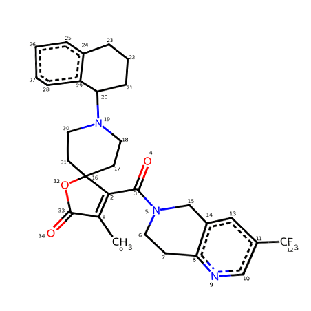 CC1=C(C(=O)N2CCc3ncc(C(F)(F)F)cc3C2)C2(CCN(C3CCCc4ccccc43)CC2)OC1=O